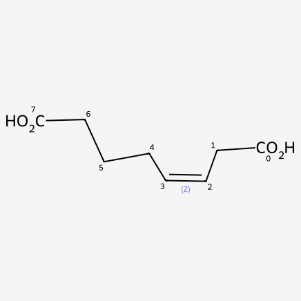 O=C(O)C/C=C\CCCC(=O)O